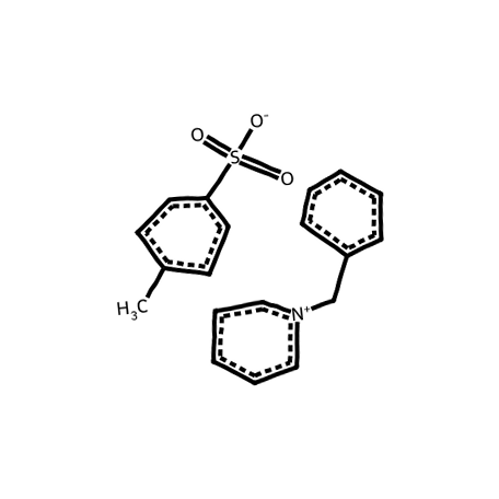 Cc1ccc(S(=O)(=O)[O-])cc1.c1ccc(C[n+]2ccccc2)cc1